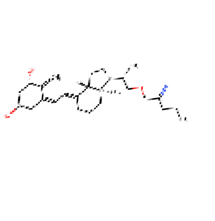 C=C1/C(=C\C=C2/CCC[C@]3(C)[C@@H]([C@H](C)COCC(=N)CCC)CC[C@@H]23)C[C@@H](O)C[C@@H]1O